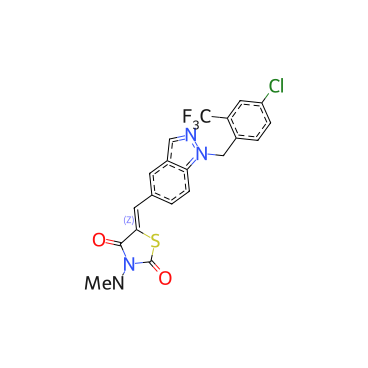 CNN1C(=O)S/C(=C\c2ccc3c(cnn3Cc3ccc(Cl)cc3C(F)(F)F)c2)C1=O